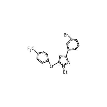 CCn1nc(-c2cccc(Br)c2)cc1Oc1ccc(C(F)(F)F)cc1